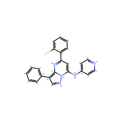 Fc1ccccc1-c1cc(Nc2ccncc2)n2ncc(-c3ccccc3)c2n1